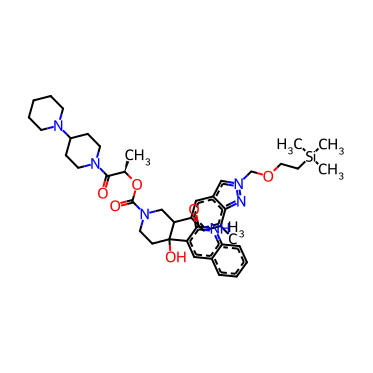 Cc1cc(C2CN(C(=O)O[C@H](C)C(=O)N3CCC(N4CCCCC4)CC3)CCC2(O)c2cc3ccccc3[nH]c2=O)cc2cn(COCC[Si](C)(C)C)nc12